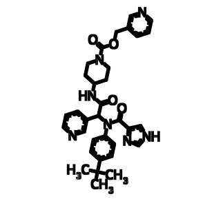 CC(C)(C)c1ccc(N(C(=O)c2c[nH]cn2)C(C(=O)NC2CCN(C(=O)OCc3cccnc3)CC2)c2cccnc2)cc1